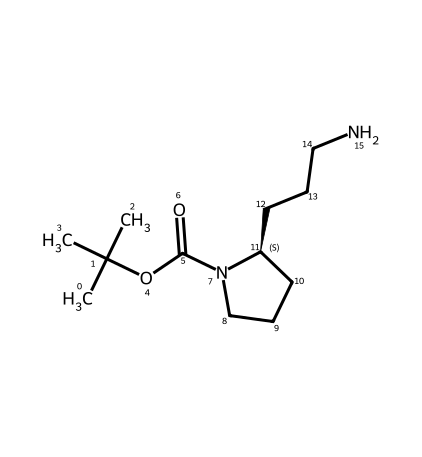 CC(C)(C)OC(=O)N1CCC[C@@H]1CCCN